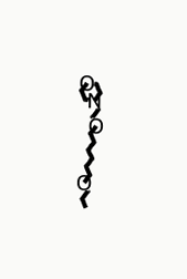 CCCOCCCCCCOCCN1CCOCC1